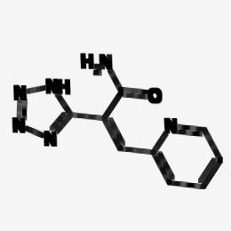 NC(=O)C(=Cc1ccccn1)c1nnn[nH]1